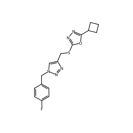 Fc1ccc(Cn2cc(CSc3nnc(C4CCC4)o3)nn2)cc1